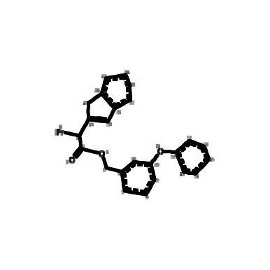 CC(C)C(C(=O)OCc1cccc(Oc2ccccc2)c1)C1=Cc2ccccc2C1